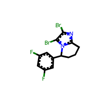 Fc1cc(F)cc(C2CCCc3nc(Br)c(Br)n32)c1